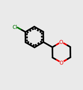 Clc1ccc(C2COCCO2)cc1